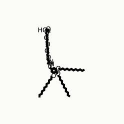 CCCCCCCCCCCCOc1cc(Cn2cc(COCCOCCOCCOCCP(=O)(O)F)nn2)cc(OCCCCCCCCCCCC)c1OCCCCCCCCCCCC